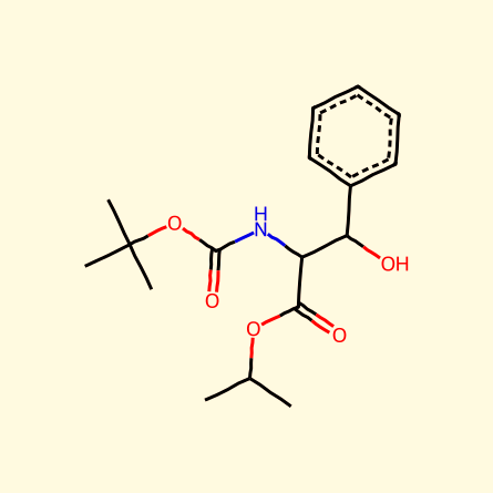 CC(C)OC(=O)C(NC(=O)OC(C)(C)C)C(O)c1ccccc1